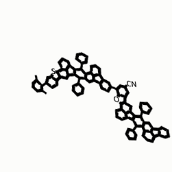 Cc1cccc(C)c1-c1ccc2c(c1)sc1c2cc2c3c(-c4ccccc4)c4cc5c6ccc(-c7cc(C#N)cc8c7oc7c8cc8c9c(-c%10ccccc%10)c%10cc%11c%12ccccc%12c%12cccc(c%10c(-c%10ccccc%10)c9c9cccc7c89)c%12%11)cc6c6cccc(c4c(-c4ccccc4)c3c3cccc1c23)c65